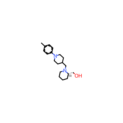 Cc1ccc(N2CCC(CN3CCCC[C@H]3CO)CC2)cc1